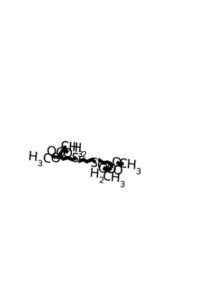 CC(=O)OC(CCC[SiH2]CCCC[SiH2]CCCC(OC(C)=O)OC(C)=O)OC(C)=O